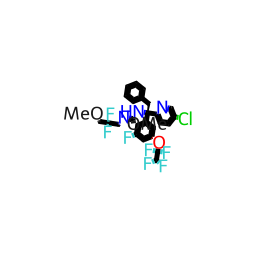 COCC(F)(F)C/N=C(/N[C@@](Cc1ccccc1)(c1cc(F)cc(OC(F)(F)C(F)F)c1)c1ccc(Cl)cn1)OC